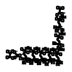 CCCCS(=O)(=O)CC[P+](CC)(CC)CC.CCCCS(=O)(=O)CC[P+](CC)(CC)CC.CCCCS(=O)(=O)CC[P+](CC)(CC)CC.CCCCS(=O)(=O)CC[P+](CC)(CC)CC.CCCCS(=O)(=O)CC[P+](CC)(CC)CC.CCCCS(=O)(=O)CC[P+](CC)(CC)CC.CCCCS(=O)(=O)CC[P+](CC)(CC)CC.O=C([O-])C(=O)[O-].O=C([O-])C(=O)[O-].[O-]B([O-])[O-]